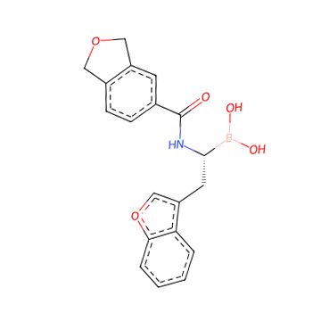 O=C(N[C@@H](Cc1coc2ccccc12)B(O)O)c1ccc2c(c1)COC2